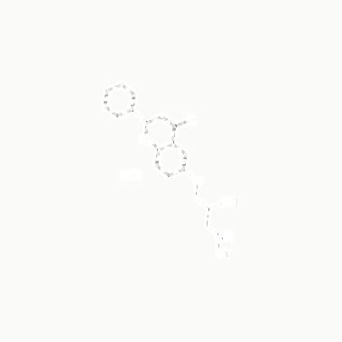 CC(C)NCC(O)COc1ccc2oc(-c3ccccc3)cc(=O)c2c1.Cl